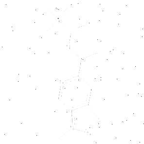 CC(N[S+]([O-])C(C)(C)C)c1cc2cnn(C)c2cn1